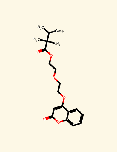 CNC(C)C(C)(C)C(=O)OCCOCCOc1cc(=O)oc2ccccc12